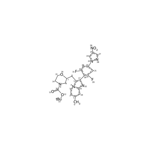 Cc1ccn2c(CC3CN(C(=O)OC(C)(C)C)CCO3)c(-c3c(F)cc(-n4cc([N+](=O)[O-])cn4)cc3F)nc2c1